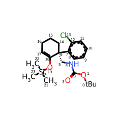 CC(C)(C)OC(=O)NC[C@@]1(c2ccccc2Cl)CCCC=C1O[Si](C)(C)C